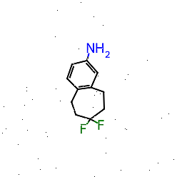 Nc1ccc2c(c1)CCC(F)(F)CC2